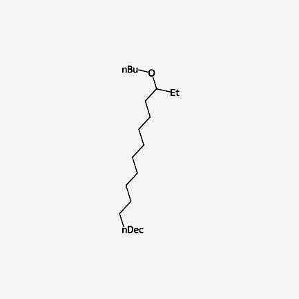 [CH2]CCCOC(CC)CCCCCCCCCCCCCCCCCCC